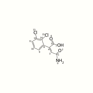 NC(=O)C=C(C(=O)O)c1cccc(Cl)c1Cl